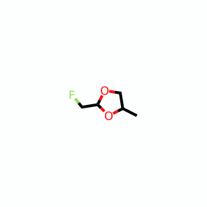 CC1COC(CF)O1